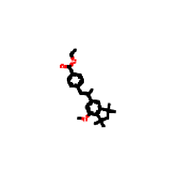 CCOC(=O)c1ccc(C=C(C)c2cc(OC)c3c(c2)C(C)(C)CC3(C)C)cc1